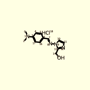 CN(C)c1ccc(/C=N/n2ccnc2CO)cc1.Cl